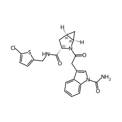 NC(=O)n1cc(CC(=O)N2[C@@H]3C[C@@H]3C[C@H]2C(=O)NCc2ccc(Cl)s2)c2ccccc21